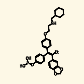 CCC(=C(c1ccc(OCCNCC2CCCCC2)cc1)c1ccc(OP(O)O)cc1)c1ccc2c(c1)OCO2